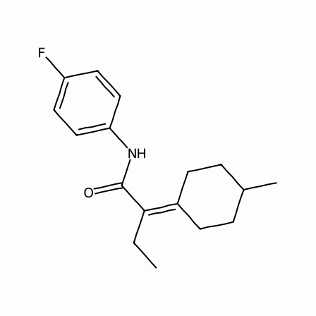 CCC(C(=O)Nc1ccc(F)cc1)=C1CCC(C)CC1